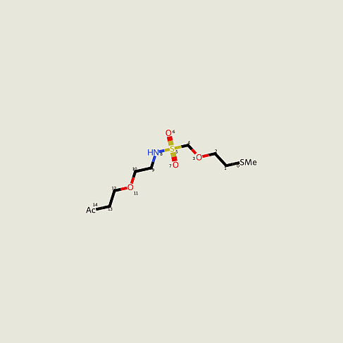 CSCCOCS(=O)(=O)NCCOCCC(C)=O